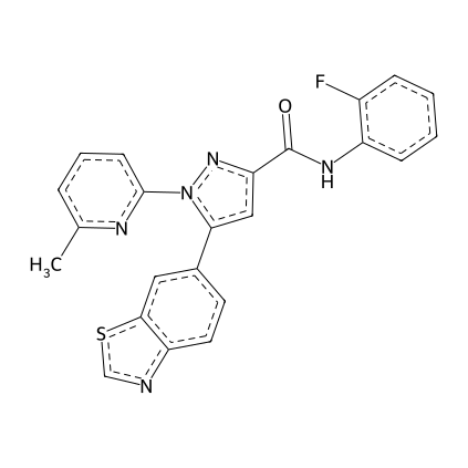 Cc1cccc(-n2nc(C(=O)Nc3ccccc3F)cc2-c2ccc3ncsc3c2)n1